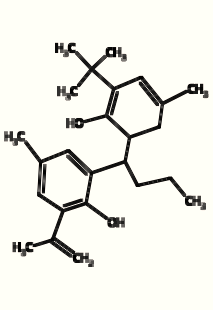 C=C(C)c1cc(C)cc(C(CCC)C2CC(C)=CC(C(C)(C)C)=C2O)c1O